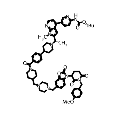 COc1ccc(CN2C(=O)CCC(n3c(=O)oc4cc(CN5CCN(CC6CCN(C(=O)c7ccc(C8CCN([C@@H](C)c9cc%10c(-c%11ccc(NC(=O)OC(C)(C)C)nc%11)ccnc%10n9C)CC8)cc7)CC6)CC5)ccc43)C2=O)cc1